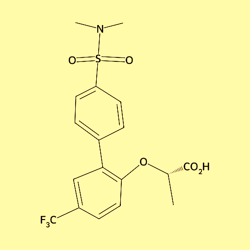 C[C@H](Oc1ccc(C(F)(F)F)cc1-c1ccc(S(=O)(=O)N(C)C)cc1)C(=O)O